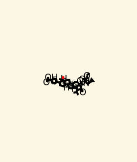 COCC(=O)N(CC1CC1)C[C@H](O)[C@@]12CC[C@]3(C)[C@H](CC[C@@H]4[C@@]5(C)CC=C(c6ccc(C(=O)O)cc6)C(C)(C)[C@@H]5CC[C@]43C)C1=C(C(C)C)C(=O)C2